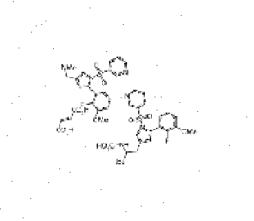 CNCc1cc(-c2cccc(OC)c2F)n(S(=O)(=O)c2cccnc2)c1.COc1cccc(-c2cc(CC(NC(=O)O)C(C)(C)C)cn2S(=O)(=O)c2cccnc2)c1F.O=C(O)/C=C/C(=O)O